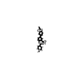 CC1=NC2C=CC(c3ccc4nc(C5CCN(C)CC5)[nH]c(=O)c4c3)=CC2O1